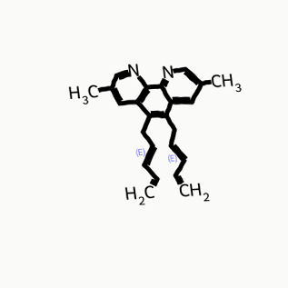 C=C/C=C/Cc1c(C/C=C/C=C)c2cc(C)cnc2c2ncc(C)cc12